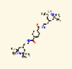 CC1(C)CC(CCNC(=O)C2CCC(C(=O)NCCC3CC(C)(C)NC(C)(C)C3)CC2)CC(C)(C)N1